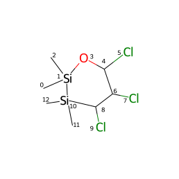 C[Si]1(C)OC(Cl)C(Cl)C(Cl)[Si]1(C)C